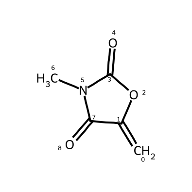 C=C1OC(=O)N(C)C1=O